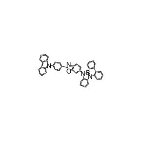 c1ccc2c(c1)B1N(c3ccc4nc(-c5ccc(-n6c7ccccc7c7ccccc76)cc5)oc4c3)c3ccccc3N1c1ccccc1-2